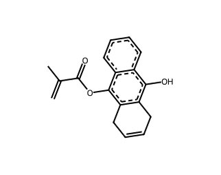 C=C(C)C(=O)Oc1c2c(c(O)c3ccccc13)CC=CC2